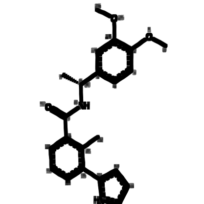 COc1ccc([C@@H](C)NC(=O)c2cccc(-c3ccc[nH]3)c2C)cc1OC